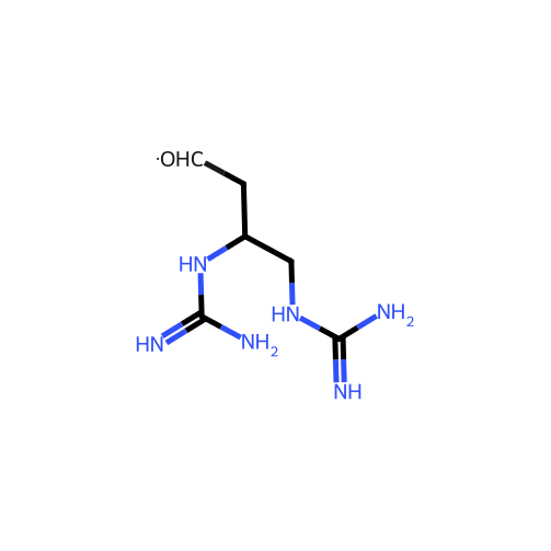 N=C(N)NCC(C[C]=O)NC(=N)N